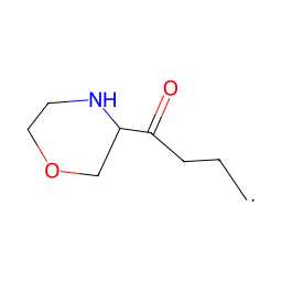 [CH2]CCC(=O)C1COCCN1